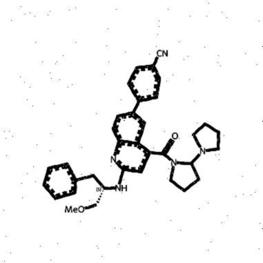 COC[C@H](Cc1ccccc1)Nc1cc(C(=O)N2CCCC2N2CCCC2)c2cc(-c3ccc(C#N)cc3)ccc2n1